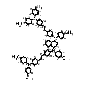 Cc1ccc(N(c2ccc(C)cc2)c2ccc(/C=C/c3ccc(N(c4ccc(C)cc4)c4ccc(N(c5ccc(C)cc5)c5ccc(/C=C/c6ccc(N(c7ccc(C)cc7)c7ccc(C)cc7)cc6)cc5)c5ccccc45)cc3)cc2)cc1